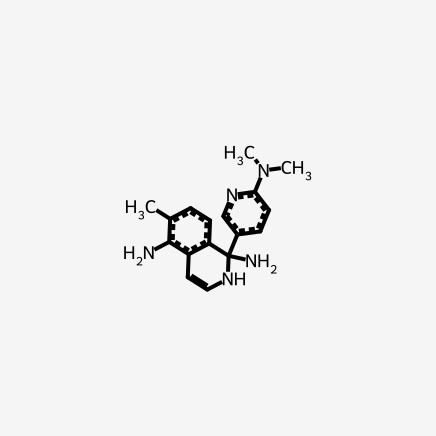 Cc1ccc2c(c1N)C=CNC2(N)c1ccc(N(C)C)nc1